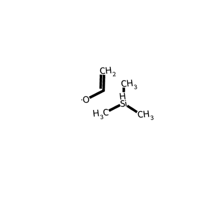 C=C[O].C[SiH](C)C